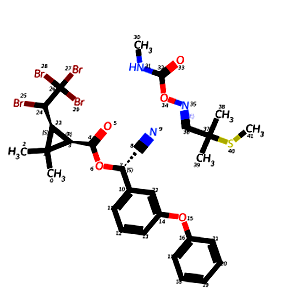 CC1(C)[C@H](C(=O)O[C@H](C#N)c2cccc(Oc3ccccc3)c2)[C@@H]1C(Br)C(Br)(Br)Br.CNC(=O)O/N=C/C(C)(C)SC